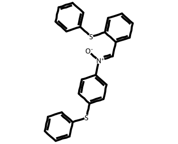 [O-][N+](=Cc1ccccc1Sc1ccccc1)c1ccc(Sc2ccccc2)cc1